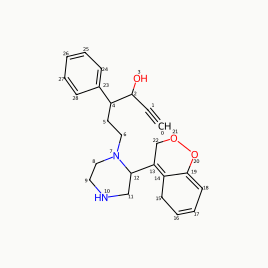 C#CC(O)C(CCN1CCNCC1C1=C2CC=CC=C2OOC1)c1ccccc1